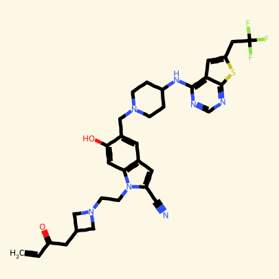 C=CC(=O)CC1CN(CCn2c(C#N)cc3cc(CN4CCC(Nc5ncnc6sc(CC(F)(F)F)cc56)CC4)c(O)cc32)C1